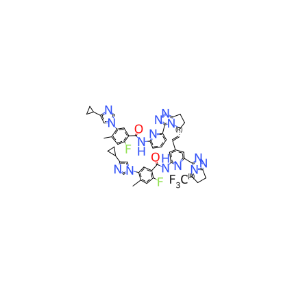 Cc1cc(F)c(C(=O)Nc2cccc(-c3nnc4n3[C@@H](C=Cc3cc(NC(=O)c5cc(-n6cnc(C7CC7)c6)c(C)cc5F)nc(-c5nnc6n5[C@@H](C(F)(F)F)CC6)c3)CC4)n2)cc1-n1cnc(C2CC2)c1